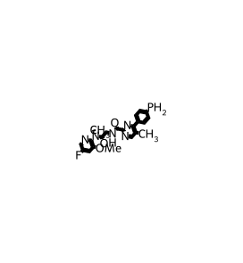 COc1cc(F)cnc1N(C)C(=O)CNC(=O)c1ncc(C)c(-c2ccc(P)cc2)n1